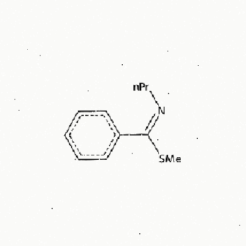 CCC/N=C(/SC)c1c[c]ccc1